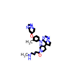 CNC/C=C/C(=O)N1CCC(c2ccn3ncnc(Nc4ccc(Oc5ccn6ncnc6c5)c(C)c4)c23)CC1